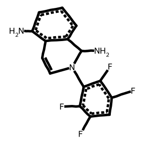 Nc1cccc2c1C=CN(c1c(F)c(F)cc(F)c1F)C2N